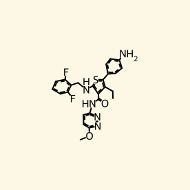 CCc1c(-c2ccc(N)cc2)sc(NCc2c(F)cccc2F)c1C(=O)Nc1ccc(OC)nn1